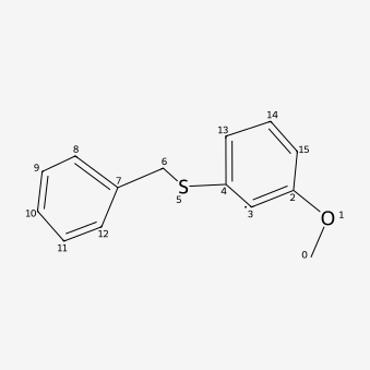 COc1[c]c(SCc2ccccc2)ccc1